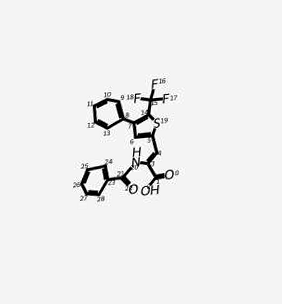 O=C(O)C(=Cc1cc(-c2ccccc2)c(C(F)(F)F)s1)NC(=O)c1ccccc1